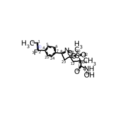 C/C=C(\F)c1ccc(C2=NOC(C[C@](C)(C(=O)NO)S(C)(=O)=O)C2)cc1